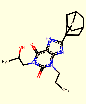 CCCn1c(=O)n(CC(C)O)c(=O)c2[nH]c(C34CC5CC(CC3C5)C4)nc21